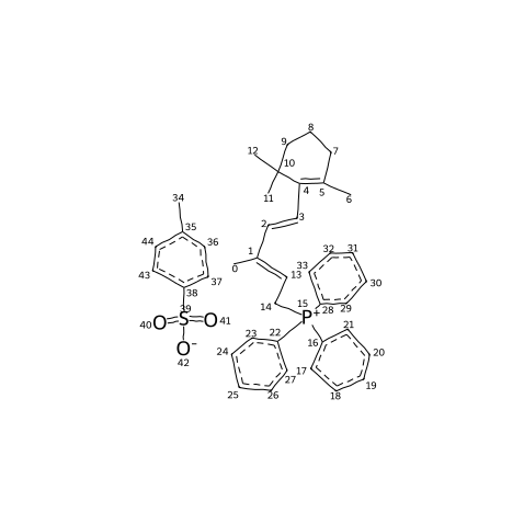 CC(C=CC1=C(C)CCCC1(C)C)=CC[P+](c1ccccc1)(c1ccccc1)c1ccccc1.Cc1ccc(S(=O)(=O)[O-])cc1